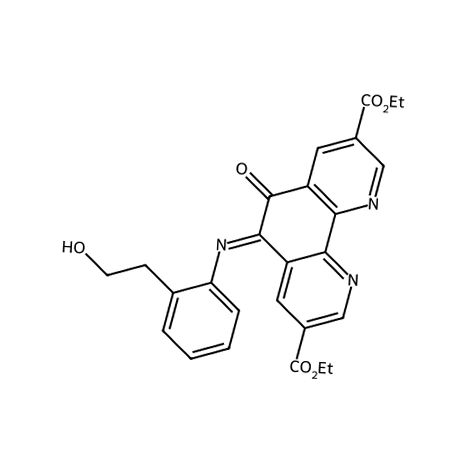 CCOC(=O)c1cnc2c(c1)C(=O)/C(=N/c1ccccc1CCO)c1cc(C(=O)OCC)cnc1-2